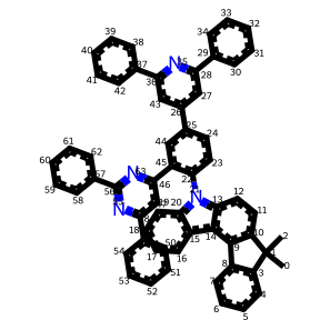 CC1(C)c2ccccc2-c2c1ccc1c2c2ccccc2n1-c1ccc(-c2cc(-c3ccccc3)nc(-c3ccccc3)c2)cc1-c1cc(-c2ccccc2)nc(-c2ccccc2)n1